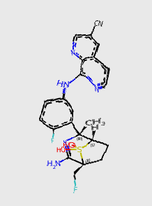 C[C@]1(c2cc(Nc3nccc4cc(C#N)cnc34)ccc2F)N=C(N)[C@@]2(CF)CC[C@@H]1S2(O)O